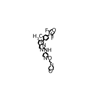 Cc1cc(N2C(F)COCC2F)ccc1-n1ccc2cnc(Nc3ccnc(OCCN4CCOCC4)c3)nc21